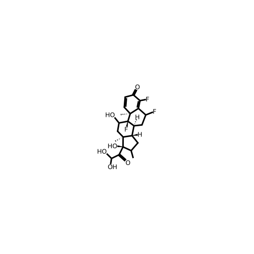 CC1C[C@H]2[C@@H]3CC(F)C4=C(F)C(=O)C=C[C@]4(C)[C@@]3(F)C(O)C[C@]2(C)[C@@]1(O)C(=O)C(O)O